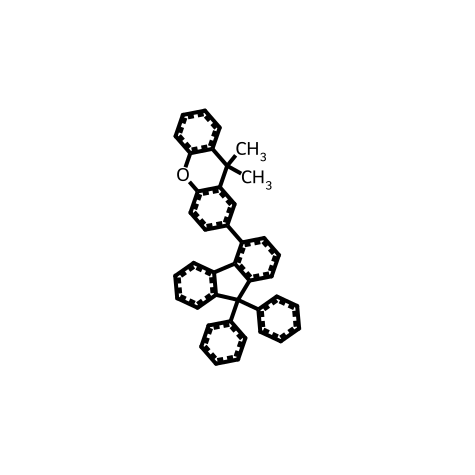 CC1(C)c2ccccc2Oc2ccc(-c3cccc4c3-c3ccccc3C4(c3ccccc3)c3ccccc3)cc21